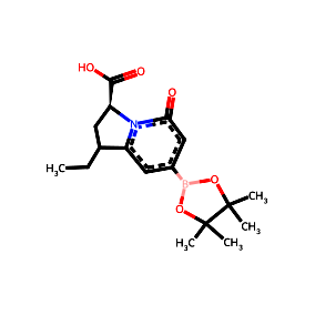 CCC1C[C@@H](C(=O)O)n2c1cc(B1OC(C)(C)C(C)(C)O1)cc2=O